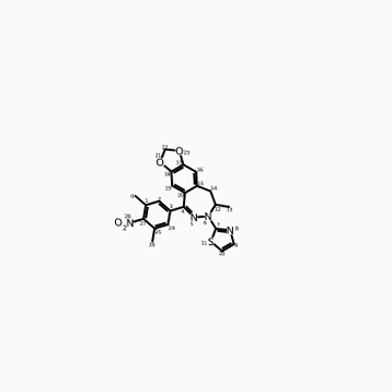 Cc1cc(C2=NN(c3nccs3)C(C)Cc3cc4c(cc32)OCO4)cc(C)c1[N+](=O)[O-]